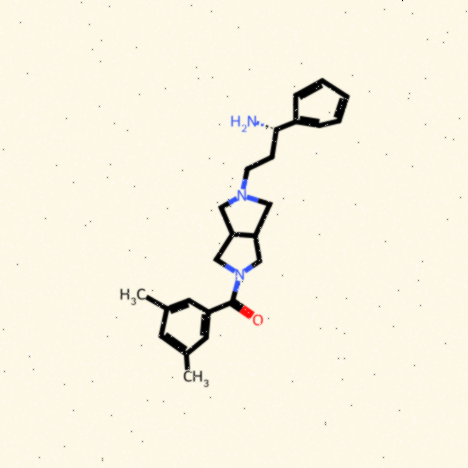 Cc1cc(C)cc(C(=O)N2CC3CN(CC[C@H](N)c4ccccc4)CC3C2)c1